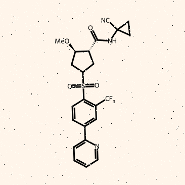 CO[C@@H]1CC(S(=O)(=O)c2ccc(-c3ccccn3)cc2C(F)(F)F)C[C@H]1C(=O)NC1(C#N)CC1